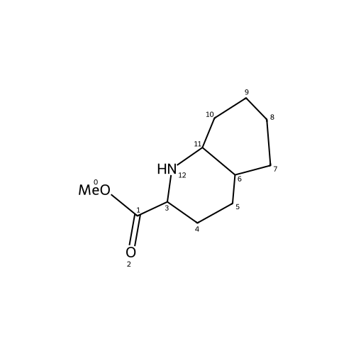 COC(=O)C1CCC2CCCCC2N1